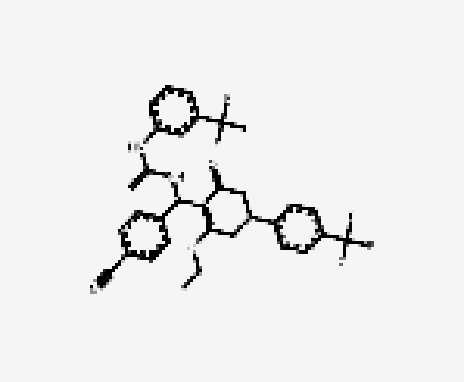 C=C(Nc1cccc(C(F)(F)F)c1)NC(C1=C(OCC)CC(c2ccc(C(F)(F)F)cc2)CC1=O)c1ccc(C#N)cc1